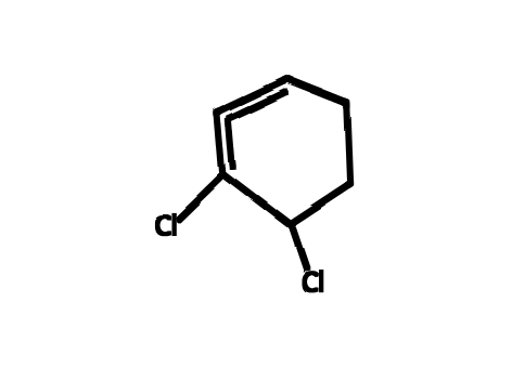 ClC1=C=CCCC1Cl